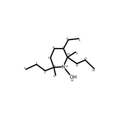 CCCC1(C)CCC(CC)C(C)(CCC)N1O